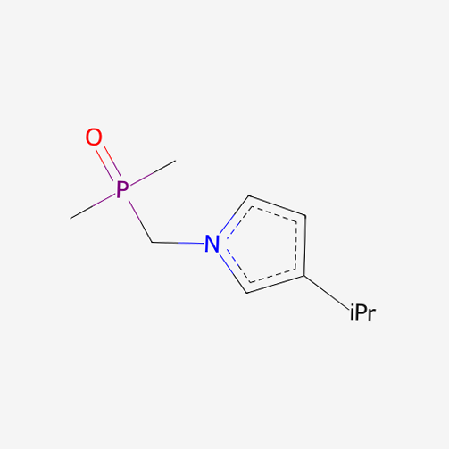 CC(C)c1ccn(CP(C)(C)=O)c1